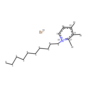 CCCCCCCCCC[n+]1ccc(C)c(C)c1C.[Br-]